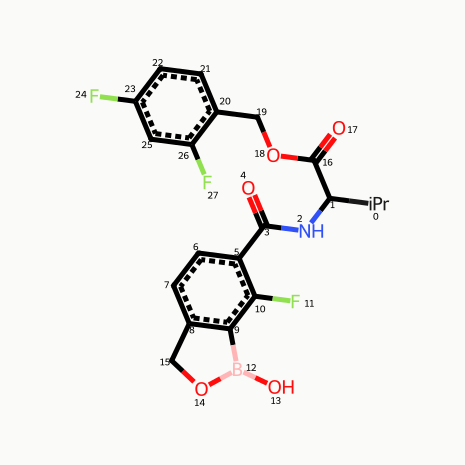 CC(C)C(NC(=O)c1ccc2c(c1F)B(O)OC2)C(=O)OCc1ccc(F)cc1F